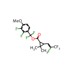 COc1ccc(C(F)(F)OC(=O)C2C(C=C(F)C(F)(F)F)C2(C)C)c(F)c1F